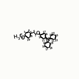 COc1ccc(CCOc2ccc(N(c3ccccc3)c3ccccc3)cc2)cc1